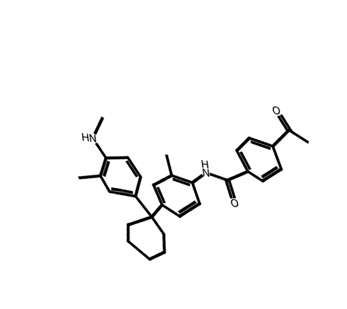 CNc1ccc(C2(c3ccc(NC(=O)c4ccc(C(C)=O)cc4)c(C)c3)CCCCC2)cc1C